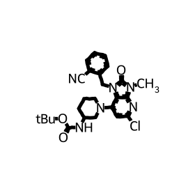 Cn1c(=O)n(Cc2ccccc2C#N)c2c(N3CCCC(NC(=O)OC(C)(C)C)C3)cc(Cl)nc21